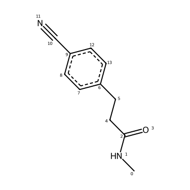 CNC(=O)CCc1ccc(C#N)cc1